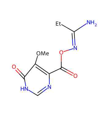 CC/C(N)=N\OC(=O)c1nc[nH]c(=O)c1OC